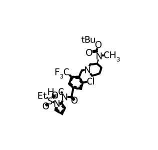 CCS(=O)(=O)n1cccc1N(C)C(=O)c1cc(Cl)c(CN2CCC[C@H](N(C)C(=O)OC(C)(C)C)C2)c(C(F)(F)F)c1